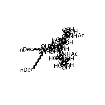 CCCCCCCCCCCCC/C=C/[C@@H](O)[C@H](CO[C@@H]1OC(CO)[C@@H](O[C@@H]2OC(CO[C@@H]3OC(CO)[C@@H](O[C@@H]4OC(CO)[C@H](O)[C@H](O)C4O)[C@H](O)C3NC(C)=O)[C@H](O)[C@H](O[C@H]3OC(CO)[C@H](O)[C@H](O[C@@H]4OC(CO)[C@H](O)[C@H](O)C4NC(C)=O)C3O)C2O)[C@H](O)C1O)NC(=O)CCCCCCCCCCCCCCCCCCC